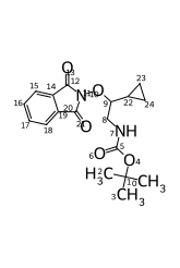 CC(C)(C)OC(=O)NCC(ON1C(=O)c2ccccc2C1=O)C1CC1